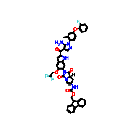 Cc1cc(Oc2ccccc2F)ccc1-n1ncc(C(=O)c2cc3cc(OCC(F)F)c(N4C(=O)[C@@H]5C[C@@H](NC(=O)OCC6c7ccccc7-c7ccccc76)CN5C4=O)cc3[nH]2)c1N